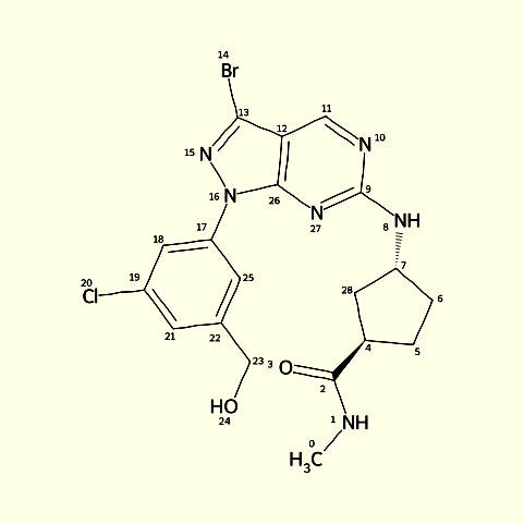 CNC(=O)[C@@H]1CC[C@@H](Nc2ncc3c(Br)nn(-c4cc(Cl)cc(CO)c4)c3n2)C1